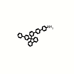 Nc1ccc(-c2ccc(-c3cccc(C4(c5ccc(-c6ccccc6)cc5)c5ccccc5-c5ccccc54)c3)cc2)cc1